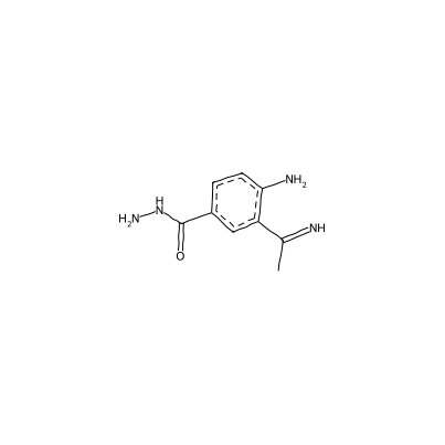 CC(=N)c1cc(C(=O)NN)ccc1N